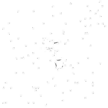 COC(=O)C(N)CCc1cncnc1